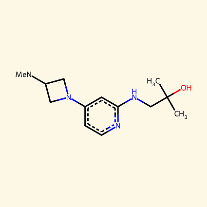 CNC1CN(c2ccnc(NCC(C)(C)O)c2)C1